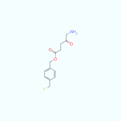 NCC(=O)CCC(=O)OCc1ccc(CF)cc1